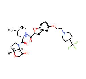 CC(C)C[C@H](NC(=O)c1cc2cc(OCCN3CCC(C(F)(F)F)CC3)ccc2o1)C(=O)N1CC[C@H]2OCC(=O)[C@H]21